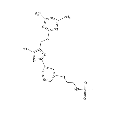 CCCc1sc(-c2cccc(OCCNS(C)(=O)=O)c2)nc1CSc1nc(N)cc(N)n1